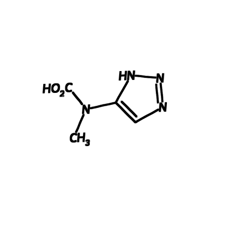 CN(C(=O)O)c1cnn[nH]1